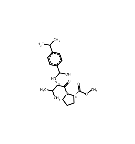 COC(=O)[C@@H]1CCCN1C(=O)[C@@H](NC(O)c1ccc(C(C)C)cc1)C(C)C